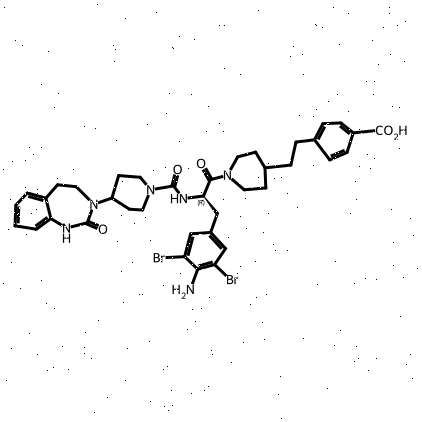 Nc1c(Br)cc(C[C@@H](NC(=O)N2CCC(N3CCc4ccccc4NC3=O)CC2)C(=O)N2CCC(CCc3ccc(C(=O)O)cc3)CC2)cc1Br